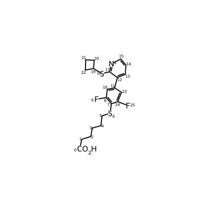 O=C(O)CCCCCSc1c(F)cc(-c2cccnc2SC2CCC2)cc1F